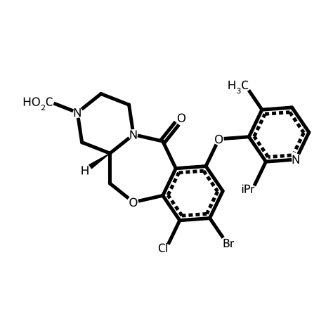 Cc1ccnc(C(C)C)c1Oc1cc(Br)c(Cl)c2c1C(=O)N1CCN(C(=O)O)C[C@H]1CO2